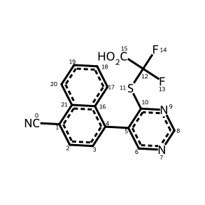 N#Cc1ccc(-c2cncnc2SC(F)(F)C(=O)O)c2ccccc12